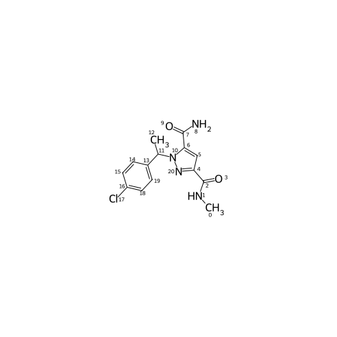 CNC(=O)c1cc(C(N)=O)n(C(C)c2ccc(Cl)cc2)n1